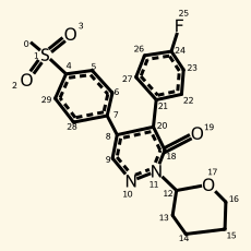 CS(=O)(=O)c1ccc(-c2cnn(C3CCCCO3)c(=O)c2-c2ccc(F)cc2)cc1